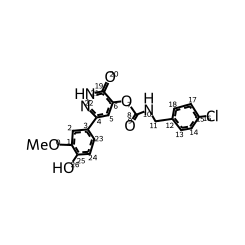 COc1cc(-c2cc(OC(=O)NCc3ccc(Cl)cc3)c(=O)[nH]n2)ccc1O